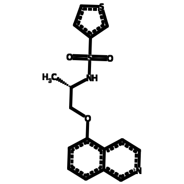 C[C@@H](COc1cccc2cnccc12)NS(=O)(=O)c1ccsc1